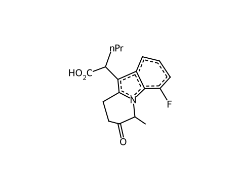 CCCC(C(=O)O)c1c2n(c3c(F)cccc13)C(C)C(=O)CC2